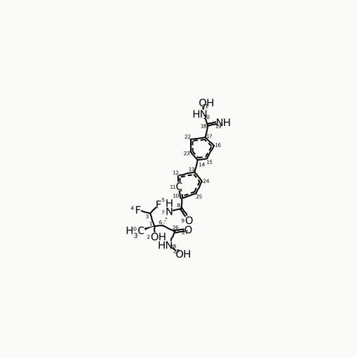 C[C@@](O)(C(F)F)[C@H](NC(=O)c1ccc(-c2ccc(C(=N)NO)cc2)cc1)C(=O)NO